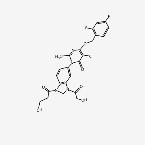 Cc1nc(OCc2ccc(F)cc2F)c(Cl)c(=O)n1-c1ccc2c(c1)N(C(=O)CO)CN2C(=O)CCO